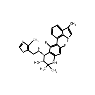 Cc1ncsc1CN[C@H]1c2c(cc(F)c(-c3cccc4c(C)c[nH]c34)c2F)NC(C)(C)[C@@H]1O